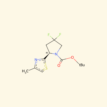 Cc1csc([C@H]2CC(F)(F)CN2C(=O)OC(C)(C)C)n1